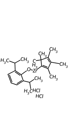 CC1=C(C)C(C)(C)[C]([Zr][O]c2c(C(C)C)cccc2C(C)C)=C1C.Cl.Cl